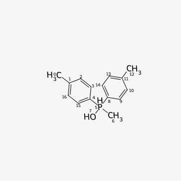 Cc1ccc([PH](C)(O)c2ccc(C)cc2)cc1